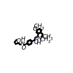 COc1ccc2c(c1)/C(=C/C(=O)c1ccc(C(=O)NCC3CCCO3)cc1)NC(C)(C)C2